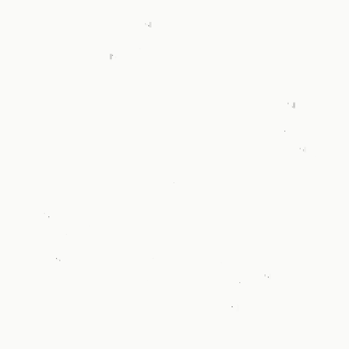 CCCOc1c(CSC(=N)N)cc(C(C)(C)c2cc(CSC(=N)N)c(OCC)c(CSC(=N)N)c2)cc1CSC(=N)N